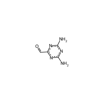 Nc1nc(N)nc(C=O)n1